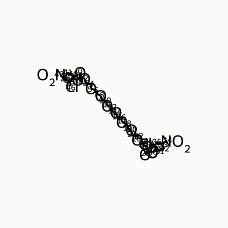 O=C(OCCOCCOCCOCCOCCOCCOCCOCCOC(=O)Oc1ccc([N+](=O)[O-])cc1Cl)Oc1ccc([N+](=O)[O-])cc1Cl